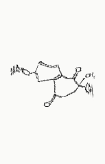 COc1ccc2c(c1)C(=O)C[C@@](C)(O)C2=O